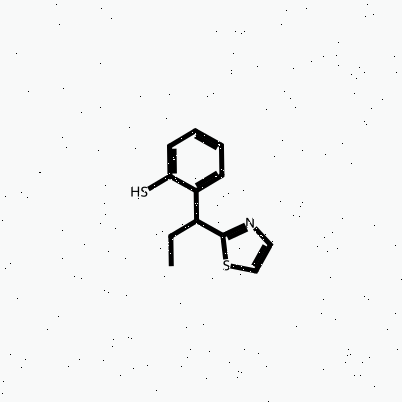 CCC(c1nccs1)c1ccccc1S